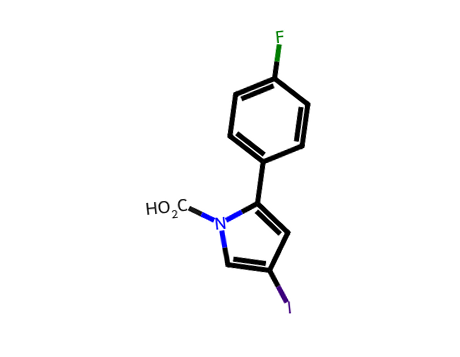 O=C(O)n1cc(I)cc1-c1ccc(F)cc1